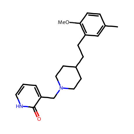 COc1ccc(C)cc1CCC1CCN(Cc2ccc[nH]c2=O)CC1